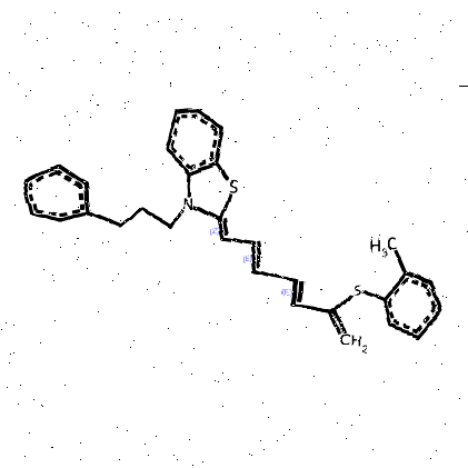 C=C(/C=C/C=C/C=C1\Sc2ccccc2N1CCCc1ccccc1)Sc1ccccc1C